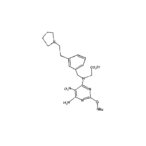 CCCCOc1nc(N)c([N+](=O)[O-])c(N(CC(=O)OCC)Cc2cccc(CCN3CCCC3)c2)n1